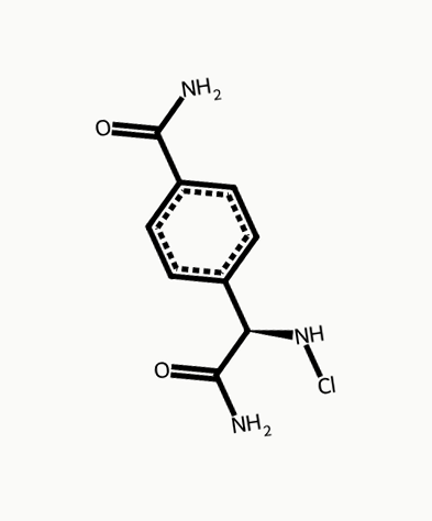 NC(=O)c1ccc([C@@H](NCl)C(N)=O)cc1